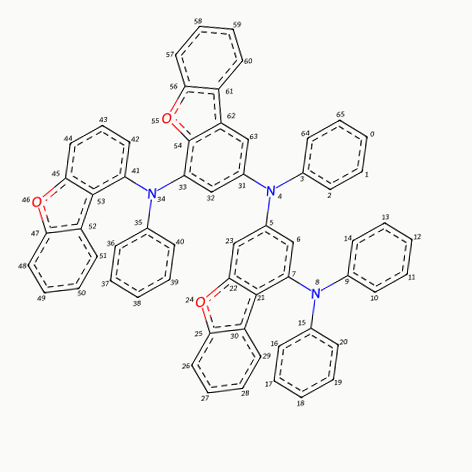 c1ccc(N(c2cc(N(c3ccccc3)c3ccccc3)c3c(c2)oc2ccccc23)c2cc(N(c3ccccc3)c3cccc4oc5ccccc5c34)c3oc4ccccc4c3c2)cc1